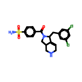 NS(=O)(=O)c1ccc(C(=O)N2CC3CNCC=C3C2Cc2cc(Cl)cc(Cl)c2)cc1